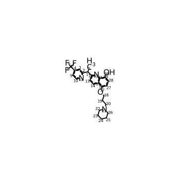 CC(c1cc(C(F)(F)F)ccn1)c1ccc2c(OCCCN3CCCCC3)ccc(O)c2n1